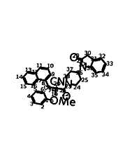 COc1ccccc1[C@H](c1cccc2ccccc12)[C@@](C)(C#N)C(=O)N1CCC(N2C(=O)Cc3ccccc32)CC1